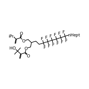 C=C(C(=O)OCC(CCC(F)(F)C(F)(F)C(F)(F)C(F)(F)C(F)(F)C(F)(F)CCCCCCC)COC(=O)C(=C)C(C)(C)O)C(C)C